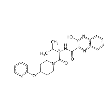 CC(C)[C@H](NC(=O)c1nc2ccccc2nc1O)C(=O)N1CCC(Oc2ccccn2)CC1